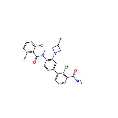 CN(C(=O)c1c(F)cccc1Cl)c1ccc(-c2cccc(C(N)=O)c2Cl)cc1N1CC(F)C1